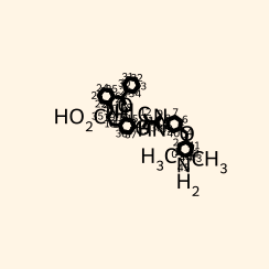 Cc1cc(Oc2ccc3nc(C(C)Oc4ccc(C[C@H](Nc5ccccc5C(=O)c5ccccc5)C(=O)O)cc4)[nH]c3c2)cc(C)c1N